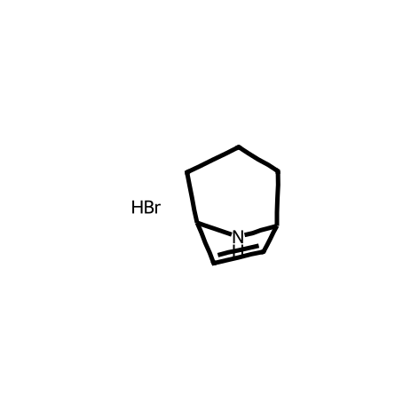 Br.C1=CC2CCCC1N2